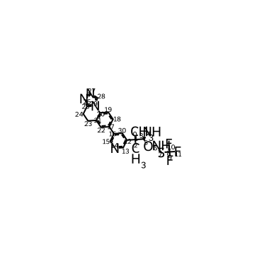 CC(C)(C(=N)ONSC(F)(F)F)c1cncc(-c2ccc3c(c2)CCc2nncn2-3)c1